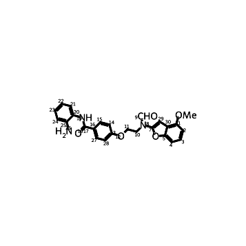 COc1cccc2oc(N(C=O)CCOc3ccc(C(=O)Nc4ccccc4N)cc3)cc12